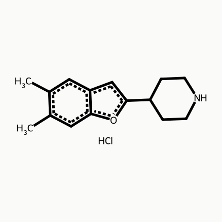 Cc1cc2cc(C3CCNCC3)oc2cc1C.Cl